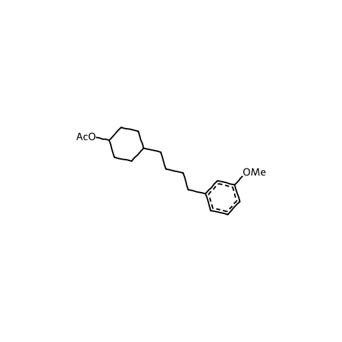 COc1cccc(CCCCC2CCC(OC(C)=O)CC2)c1